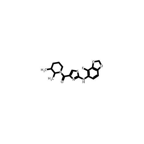 CC1CCCN(C(=O)c2csc(Nc3ccc4c(c3F)OCO4)n2)C1C